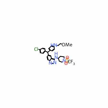 COCCNc1ccc(C(c2ccc(Cl)cc2)c2ccc3ncnc(NC4CCN(S(=O)(=O)C(F)(F)F)CC4)c3c2)cc1